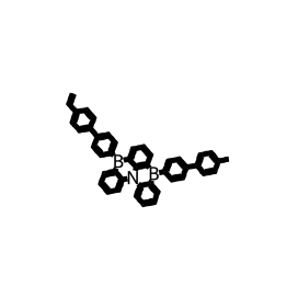 C=Cc1ccc(-c2ccc(B3c4ccccc4N4c5ccccc5B(c5ccc(-c6ccc(C)cc6)cc5)c5cccc3c54)cc2)cc1